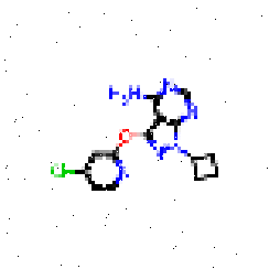 Nc1ncnc2c1c(Oc1cc(Cl)ccn1)nn2C1CCC1